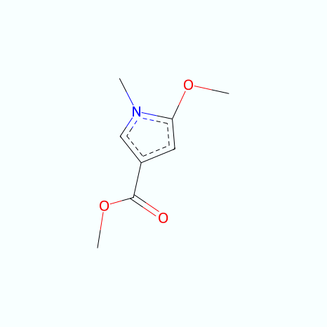 COC(=O)c1cc(OC)n(C)c1